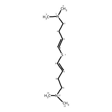 CN(C)CCC=CSC=CCCN(C)C